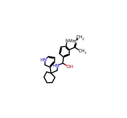 C=C=C(C)c1cc(C(O)NCC2(C3=CC=CNC3)CCCCC2)ccc1NC